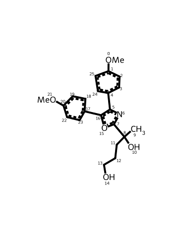 COc1ccc(-c2nc(C(C)(O)CCCO)oc2-c2ccc(OC)cc2)cc1